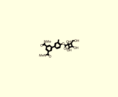 CNC(=O)c1cc(C(=O)NC)cc(-c2ccc(OC(O)C3(O)C(O)C(O)C3CO)c(C)c2)c1